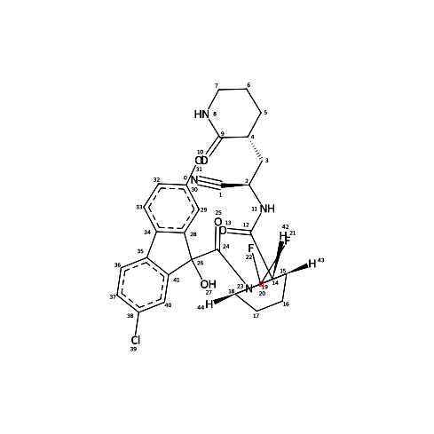 N#C[C@@H](C[C@H]1CCCNC1=O)NC(=O)[C@@H]1[C@@H]2CC[C@@H](CC2(F)F)N1C(=O)C1(O)c2cc(Cl)ccc2-c2ccc(Cl)cc21